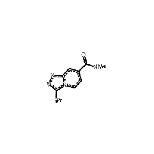 CNC(=O)c1ccn2c(C(C)C)nnc2c1